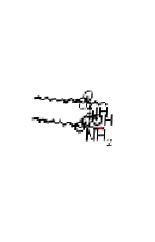 CCCCCCCCCCCCOC(=O)C(CCCC)CNC(=O)O.CCCCCCCCCCCCOC(=O)C(CN)CCCC